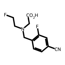 N#Cc1ccc(CN(CCF)CC(=O)O)c(F)c1